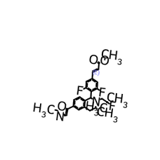 COC(=O)/C=C/c1cc(F)c(C2c3ccc(-c4cnc(C)o4)cc3CC(C)N2CC(C)(C)F)c(F)c1